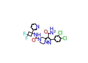 NC(=O)c1c(-c2ccc(Cl)c(Cl)c2)nn2c1CN(C(=O)NC1(c3cccnc3)CC(F)(F)C1)CC2